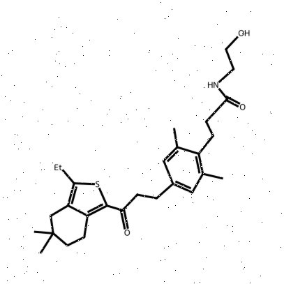 CCc1sc(C(=O)CCc2cc(C)c(CCC(=O)NCCO)c(C)c2)c2c1CC(C)(C)CC2